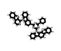 c1ccc(-c2nc(-c3ccc4c(c3)c3ccccc3n4-c3nccc4c3sc3ccccc34)nc(-n3c4ccccc4c4ccc5c6ccccc6oc5c43)n2)cc1